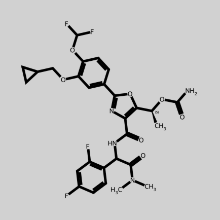 C[C@H](OC(N)=O)c1oc(-c2ccc(OC(F)F)c(OCC3CC3)c2)nc1C(=O)NC(C(=O)N(C)C)c1ccc(F)cc1F